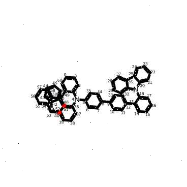 c1ccc(N(c2ccc(-c3ccc(-c4ccccc4-n4c5ccccc5c5ccccc54)cc3)cc2)c2cccc3oc4ccccc4c23)c(-c2cccc3ccccc23)c1